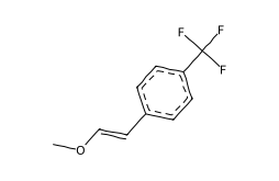 COC=Cc1ccc(C(F)(F)F)cc1